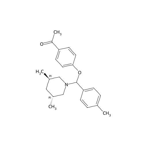 CC(=O)c1ccc(OC(c2ccc(C)cc2)N2C[C@H](C)C[C@@H](C)C2)cc1